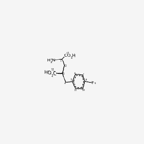 NC(CC(Cc1ccc(F)cc1)C(=O)O)C(=O)O